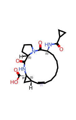 O=C(N[C@H]1CCCCC/C=C\[C@@H]2C[C@@]2(C(=O)O)NC(=O)[C@@H]2CCCN2C1=O)C1CC1